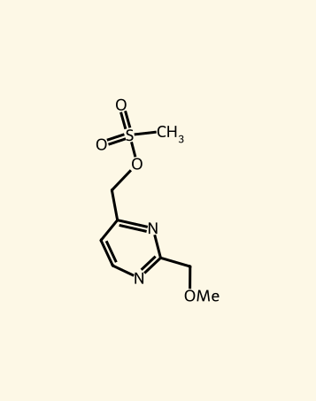 COCc1nccc(COS(C)(=O)=O)n1